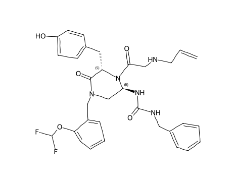 C=CCNCC(=O)N1[C@@H](NC(=O)NCc2ccccc2)CN(Cc2ccccc2OC(F)F)C(=O)[C@@H]1Cc1ccc(O)cc1